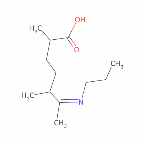 CCCN=C(C)C(C)CCC(C)C(=O)O